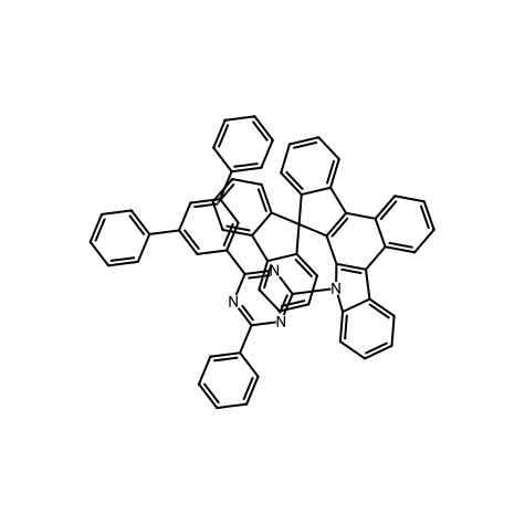 c1ccc(-c2cc(-c3ccccc3)cc(-c3nc(-c4ccccc4)nc(-n4c5ccccc5c5c6ccccc6c6c(c54)C4(c5ccccc5-c5ccccc54)c4ccccc4-6)n3)c2)cc1